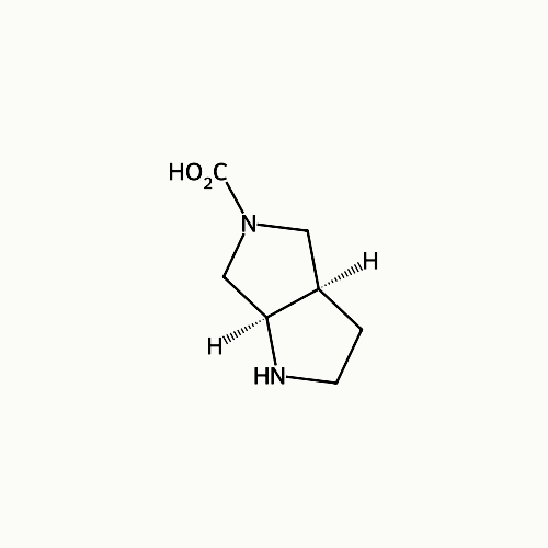 O=C(O)N1C[C@H]2CCN[C@H]2C1